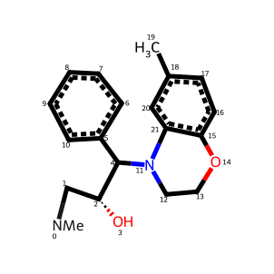 CNC[C@@H](O)C(c1ccccc1)N1CCOc2ccc(C)cc21